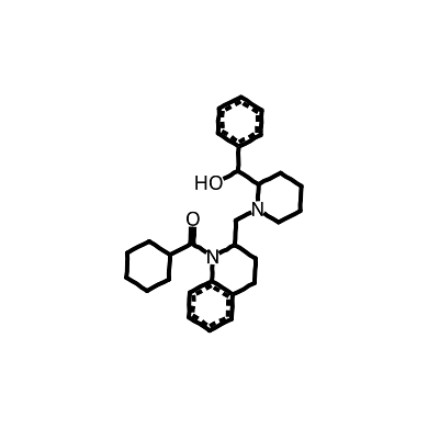 O=C(C1CCCCC1)N1c2ccccc2CCC1CN1CCCCC1C(O)c1ccccc1